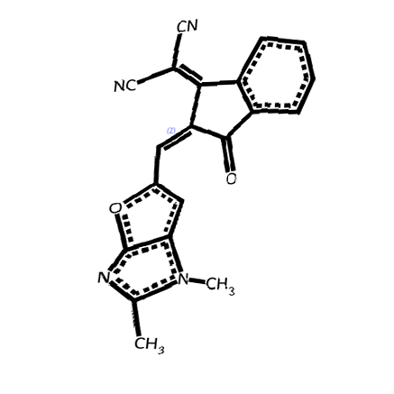 Cc1nc2oc(/C=C3\C(=O)c4ccccc4C3=C(C#N)C#N)cc2n1C